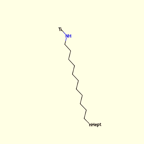 CCCCCCCCCCCCCCCCCC[NH][Ti]